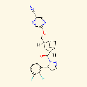 N#Cc1cnc(OC[C@@H]2C[C@H](C(=O)N3N=CCC3c3cccc(F)c3F)C3CC2C3)cn1